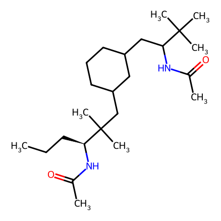 CCC[C@H](NC(C)=O)C(C)(C)CC1CCCC(CC(NC(C)=O)C(C)(C)C)C1